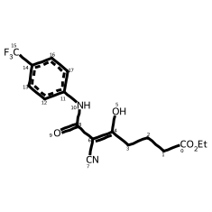 CCOC(=O)CCCC(O)=C(C#N)C(=O)Nc1ccc(C(F)(F)F)cc1